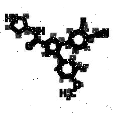 COc1ccc(-c2sc(C(=O)NC3CCNC3)cc2-c2ccc(C#N)c(F)c2)cc1F